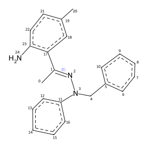 C/C(=N\N(Cc1ccccc1)c1ccccc1)c1cc(C)ccc1N